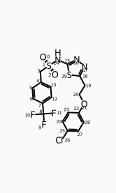 O=S(=O)(Cc1ccc(C(F)(F)F)cc1)Nc1nnc(CCOc2ccc(Cl)cc2)s1